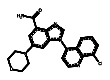 NC(=O)c1cc(N2CCOCC2)cc2c1ncn2-c1ccnc2c(Cl)cccc12